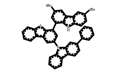 CC(C)(C)c1ccc2[nH]c3c(-c4cc(-n5c6ccccc6c6ccc(-c7ccccc7)cc65)cc5c4sc4ccccc45)cc(C(C)(C)C)cc3c2c1